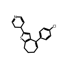 Clc1ccc(C2=CCCCc3sc(C4C=CN=CC4)cc32)cc1